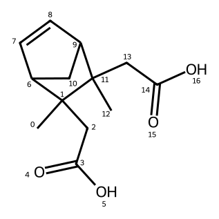 CC1(CC(=O)O)C2C=CC(C2)C1(C)CC(=O)O